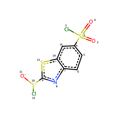 O=S(=O)(Cl)c1ccc2nc([S+]([O-])Cl)sc2c1